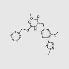 COC(=O)/C(=C/c1ccc(-n2cnc(C)c2)c(OC)c1)NC(=O)OCc1ccccc1